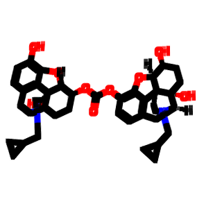 O=C(Oc1ccc2c3c1O[C@H]1[C@@H](O)CC[C@@]4(O)[C@@H](C2)N(CC2CC2)CC[C@]314)O[C@H]1CC[C@@]2(O)C3Cc4ccc(O)c5c4[C@@]2(CCN3CC2CC2)[C@H]1O5